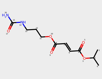 CC(C)OC(=O)/C=C/C(=O)OCCCNC(N)=O